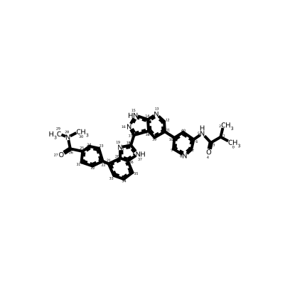 CC(C)C(=O)Nc1cncc(-c2cnc3[nH]nc(-c4nc5c(-c6ccc(C(=O)N(C)C)cc6)cccc5[nH]4)c3c2)c1